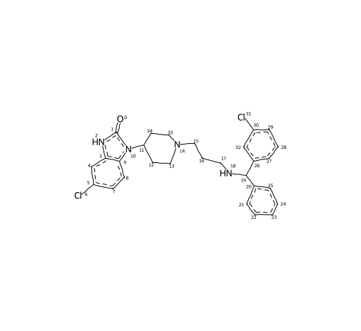 O=c1[nH]c2cc(Cl)ccc2n1C1CCN(CCCNC(c2ccccc2)c2cccc(Cl)c2)CC1